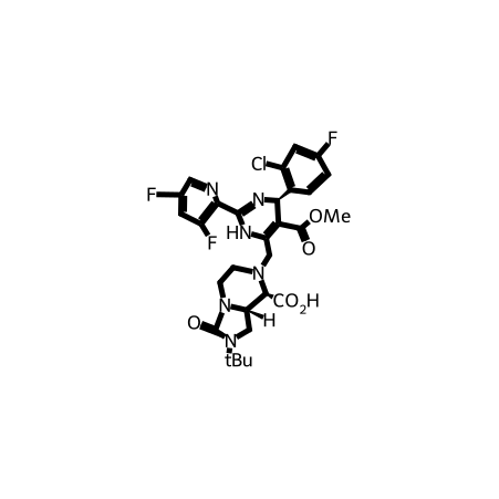 COC(=O)C1=C(CN2CCN3C(=O)N(C(C)(C)C)C[C@H]3[C@@H]2C(=O)O)NC(c2ncc(F)cc2F)=N[C@H]1c1ccc(F)cc1Cl